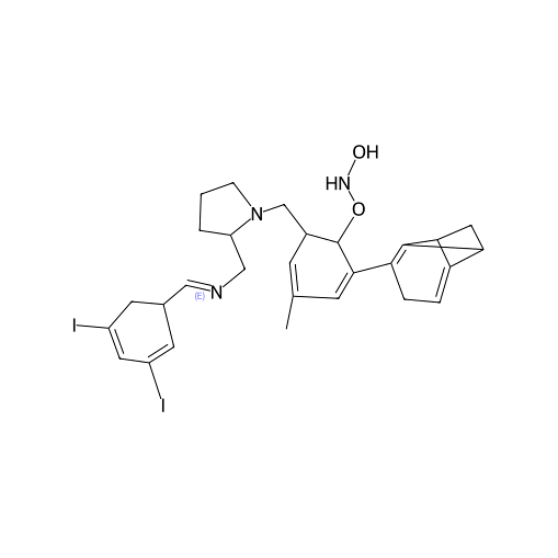 CC1=CC(CN2CCCC2C/N=C/C2C=C(I)C=C(I)C2)C(ONO)C(C2=C3C4CC3C4=CC2)=C1